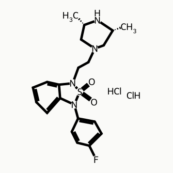 C[C@@H]1CN(CCN2c3ccccc3N(c3ccc(F)cc3)S2(=O)=O)C[C@H](C)N1.Cl.Cl